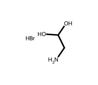 Br.NCC(O)O